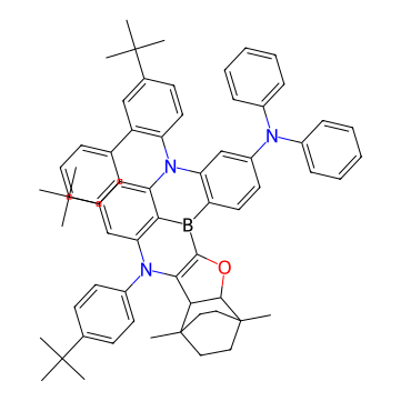 CC(C)(C)c1ccc(N2C3=C(OC4C3C3(C)CCC4(C)CC3)B3c4ccc(N(c5ccccc5)c5ccccc5)cc4N(c4ccc(C(C)(C)C)cc4-c4ccccc4)c4cc(C(C)(C)C)cc2c43)cc1